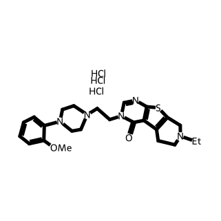 CCN1CCc2c(sc3ncn(CCN4CCN(c5ccccc5OC)CC4)c(=O)c23)C1.Cl.Cl.Cl